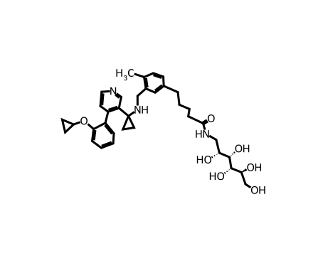 Cc1ccc(CCCCC(=O)NC[C@@H](O)[C@H](O)[C@@H](O)[C@@H](O)CO)cc1CNC1(c2cnccc2-c2ccccc2OC2CC2)CC1